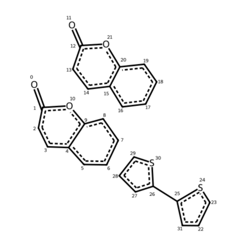 O=c1ccc2ccccc2o1.O=c1ccc2ccccc2o1.c1csc(-c2cccs2)c1